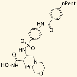 CCCCCc1ccc(C(=O)Nc2ccc(S(=O)(=O)NC(CN3CCOCC3)C(C(=O)NO)C(C)C)cc2)cc1